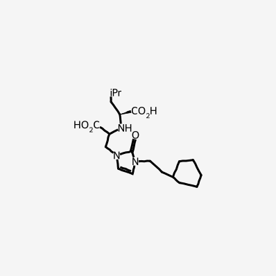 CC(C)C[C@H](NC(Cn1ccn(CCC2CCCCC2)c1=O)C(=O)O)C(=O)O